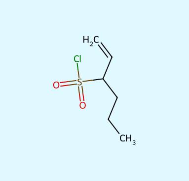 C=CC(CCC)S(=O)(=O)Cl